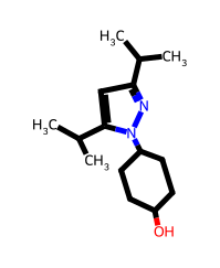 CC(C)c1cc(C(C)C)n(C2CCC(O)CC2)n1